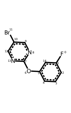 Fc1cccc(Oc2ncc(Br)cn2)c1